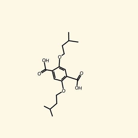 CC(C)CCOc1cc(C(=O)O)c(OCCC(C)C)cc1C(=O)O